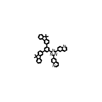 CC1(C)c2ccccc2-c2cc(-c3cc(-c4ccc5c(c4)-c4ccccc4C5(C)C)cc(-c4nc(-c5ccc6ncccc6c5)nc(-c5ccc6ncccc6c5)n4)c3)ccc21